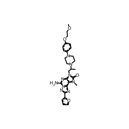 COCCOc1ccc(N2CCN(C(C)Cn3c(=O)n(C)c4c3nc(N)n3nc(-c5ccco5)nc43)CC2)cc1